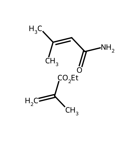 C=C(C)C(=O)OCC.CC(C)=CC(N)=O